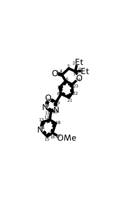 CCC1(CC)CC(=O)c2cc(-c3nc(-c4cncc(OC)c4)no3)ccc2O1